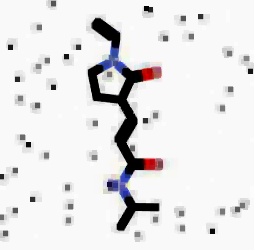 C=CN1CCC(C=CC(=O)NC(C)C)C1=O